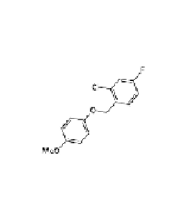 COc1ccc(OCc2[c]cc(F)cc2Cl)cc1